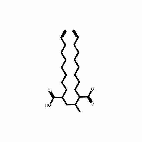 C=CCCCCCCCC(CC(C)C(CCCCCCCC=C)C(=O)O)C(=O)O